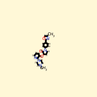 Cc1coc(-c2ccc(N3CCC(Oc4cccnc4N4CCN(C)CC4)C3=O)cc2)n1